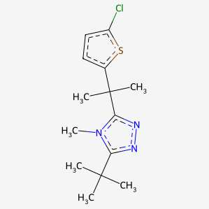 Cn1c(C(C)(C)C)nnc1C(C)(C)c1ccc(Cl)s1